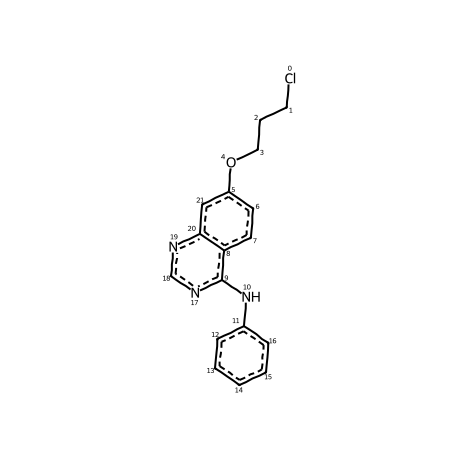 ClCCCOc1ccc2c(Nc3ccccc3)ncnc2c1